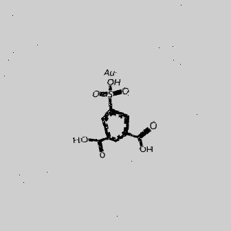 O=C(O)c1cc(C(=O)O)cc(S(=O)(=O)O)c1.[Au]